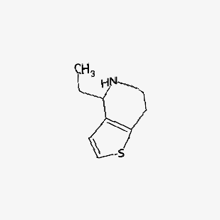 CCC1NCCc2sccc21